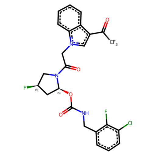 O=C(NCc1cccc(Cl)c1F)O[C@H]1C[C@@H](F)CN1C(=O)Cn1cc(C(=O)C(F)(F)F)c2ccccc21